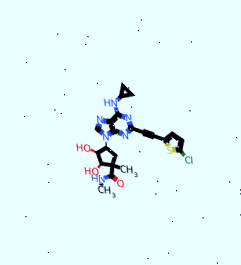 CNC(=O)C1(C)C[C@@H](n2cnc3c(NC4CC4)nc(C#Cc4ccc(Cl)s4)nc32)[C@H](O)[C@@H]1O